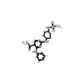 CS(=O)(=O)NC1CCC(Nc2ncc(C(N)=O)c(Nc3ccccc3)n2)CC1